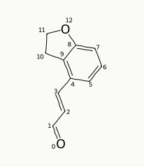 O=C/C=C/c1cccc2c1CCO2